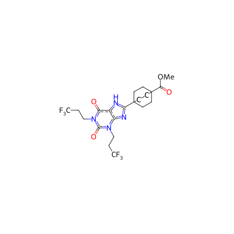 COC(=O)C12CCC(c3nc4c([nH]3)c(=O)n(CCC(F)(F)F)c(=O)n4CCC(F)(F)F)(CC1)CC2